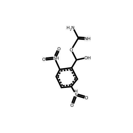 N=C(N)OC(O)c1cc([SH](=O)=O)ccc1[SH](=O)=O